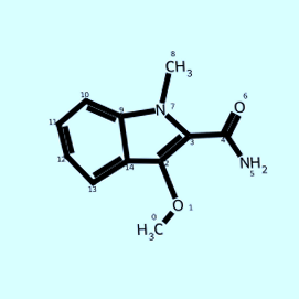 COc1c(C(N)=O)n(C)c2ccccc12